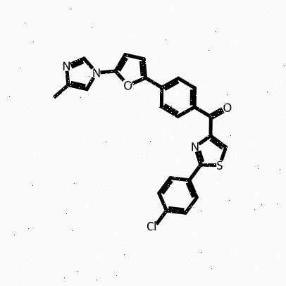 Cc1cn(-c2ccc(-c3ccc(C(=O)c4csc(-c5ccc(Cl)cc5)n4)cc3)o2)cn1